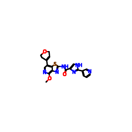 COc1ncc(C2=CCOCC2)c2sc(NC(=O)c3c[nH]c(-c4cccnc4)n3)nc12